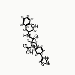 C[C@@](Cc1ccc(-c2csnn2)cc1)(NC(=O)O)C(=O)NC(CO)Cc1ccccc1